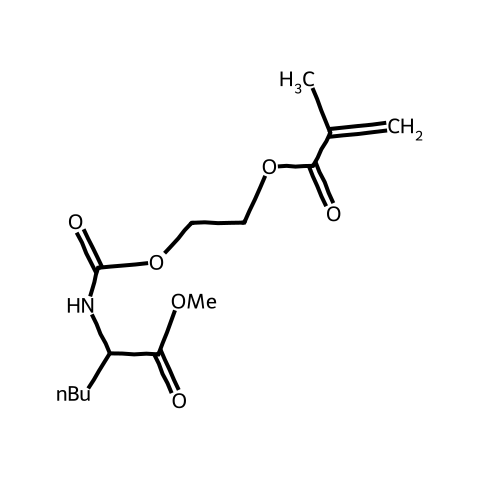 C=C(C)C(=O)OCCOC(=O)NC(CCCC)C(=O)OC